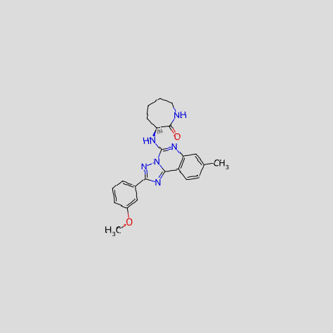 COc1cccc(-c2nc3c4ccc(C)cc4nc(N[C@H]4CCCCNC4=O)n3n2)c1